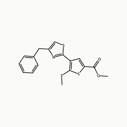 COC(=O)c1cc(-c2nc(Cc3ccccc3)cs2)c(SC)s1